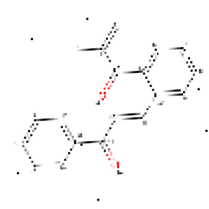 C=C(C)C(=O)c1ccccc1C=CC(=O)c1ccccc1